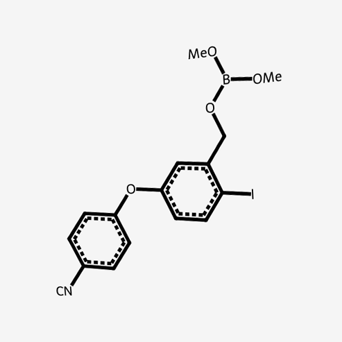 [C-]#[N+]c1ccc(Oc2ccc(I)c(COB(OC)OC)c2)cc1